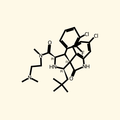 CN(C)CCN(C)C(=O)[C@@H]1N[C@H](CC(C)(C)C)[C@]2(C(=O)Nc3cc(Cl)ccc32)C1c1cccc(Cl)c1F